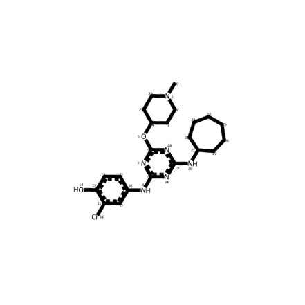 CN1CCC(Oc2nc(Nc3ccc(O)c(Cl)c3)nc(NC3CCCCCC3)n2)CC1